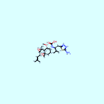 CO[C@@H]1[C@H](N(C(=O)O)[C@@H](Cc2nnc(N)s2)C(C)C)CC[C@]2(CO2)[C@H]1[C@@]1(C)O[C@@H]1CC=C(C)C